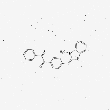 CN1C(=Cc2ccc(C(=O)C(=O)c3ccccc3)cc2)Oc2ccccc21